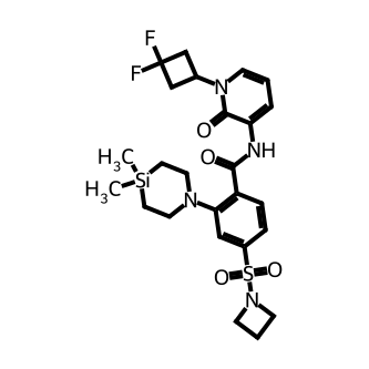 C[Si]1(C)CCN(c2cc(S(=O)(=O)N3CCC3)ccc2C(=O)Nc2cccn(C3CC(F)(F)C3)c2=O)CC1